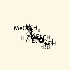 CCC(CC)(c1ccc(OCC(O)C(C)(C)C)c(C)c1)c1cc(C)c(C(=O)CN(C)CC(=O)OC)s1